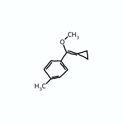 COC(=C1CC1)c1ccc(C)cc1